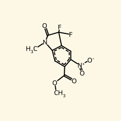 COC(=O)c1cc2c(cc1[N+](=O)[O-])C(F)(F)C(=O)N2C